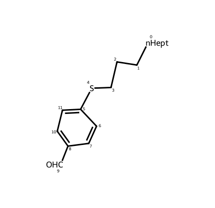 CCCCCCCCCCSc1ccc(C=O)cc1